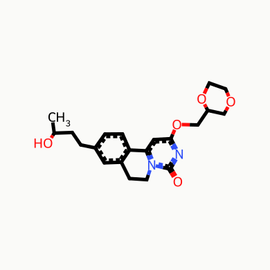 CC(O)CCc1ccc2c(c1)CCn1c-2cc(OCC2COCCO2)nc1=O